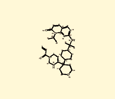 C=CC(=O)N1CCC(C2(C3CCC(C(C)(C)Nc4ncc5ccc(=O)n(C(C)C)c5n4)CC3)CCOCC2)NC1